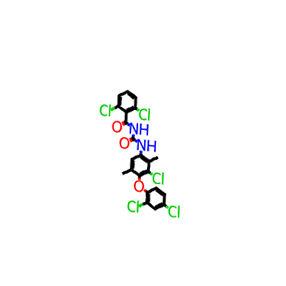 Cc1cc(NC(=O)NC(=O)c2c(Cl)cccc2Cl)c(C)c(Cl)c1Oc1ccc(Cl)cc1Cl